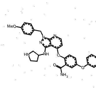 COc1ccc(Cn2nc(NC3CCNC3)c3c(Oc4ccc(Oc5ccccc5)cc4C(N)=O)ccnc32)cc1